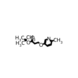 Cc1ccc(OCCC(=O)OC(C)(C)C)cn1